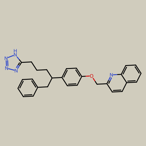 c1ccc(CC(CCCc2nnn[nH]2)c2ccc(OCc3ccc4ccccc4n3)cc2)cc1